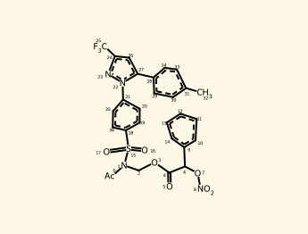 CC(=O)N(COC(=O)C(O[N+](=O)[O-])c1ccccc1)S(=O)(=O)c1ccc(-n2nc(C(F)(F)F)cc2-c2ccc(C)cc2)cc1